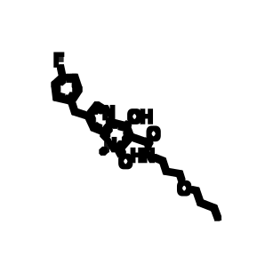 CCCCOCCCNC(=O)c1c(O)c2ncc(Cc3ccc(F)cc3)cc2n(C)c1=O